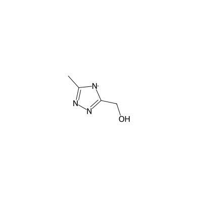 CC1=NN=C(CO)[N]1